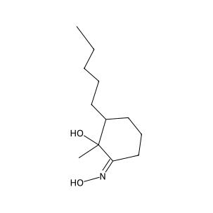 CCCCCC1CCCC(=NO)C1(C)O